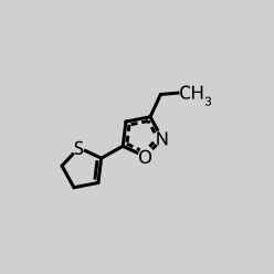 CCc1cc(C2=CCCS2)on1